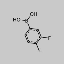 [CH2]c1ccc(B(O)O)cc1F